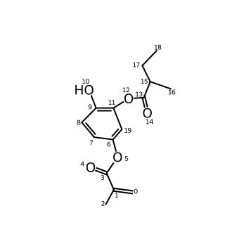 C=C(C)C(=O)Oc1ccc(O)c(OC(=O)C(C)CC)c1